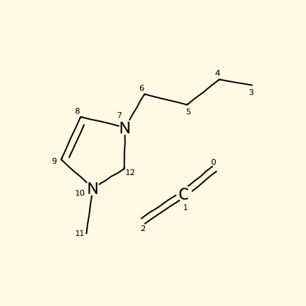 C=C=C.CCCCN1C=CN(C)C1